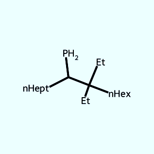 CCCCCCCC(P)C(CC)(CC)CCCCCC